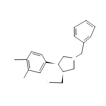 NC[C@@H]1CN(Cc2ccccc2)C[C@@H]1c1ccc(Cl)c(Cl)c1